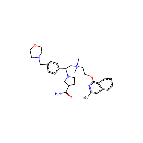 CCCCc1cc2ccccc2c(OCC[N+](C)(C)CC(c2ccc(CN3CCOCC3)cc2)N2CCC(C(N)=O)C2)n1